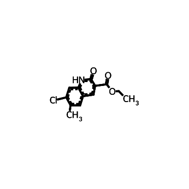 CCOC(=O)c1cc2cc(C)c(Cl)cc2[nH]c1=O